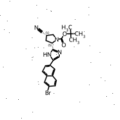 CC(C)(C)OC(=O)N1C[C@@H](C#N)C[C@H]1c1ncc(-c2ccc3cc(Br)ccc3c2)[nH]1